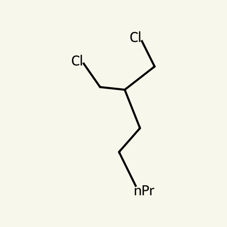 CCCCCC(CCl)CCl